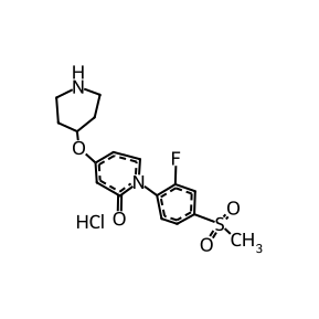 CS(=O)(=O)c1ccc(-n2ccc(OC3CCNCC3)cc2=O)c(F)c1.Cl